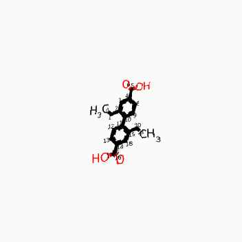 CCc1cc(C(=O)O)ccc1-c1ccc(C(=O)O)cc1CC